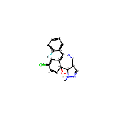 CN1N=CC2CNC(c3ccccc3F)=C3C=C(Cl)C=CC3(O)C21